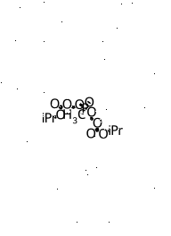 CC(C)OC(=O)OCOP(C)(=O)OCOC(=O)OC(C)C